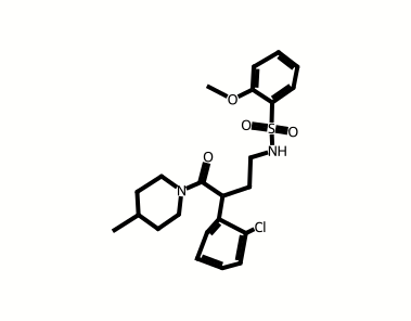 COc1ccccc1S(=O)(=O)NCCC(C(=O)N1CCC(C)CC1)c1ccccc1Cl